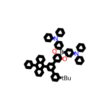 CC(C)(C)c1cccc(-c2cc(-c3cc4c5c(c3)Oc3cc(N(c6ccccc6)c6ccccc6)ccc3B5c3ccc(N(c5ccccc5)c5ccccc5)cc3O4)cc(-c3c4ccccc4c(-c4ccccc4)c4ccccc34)c2)c1